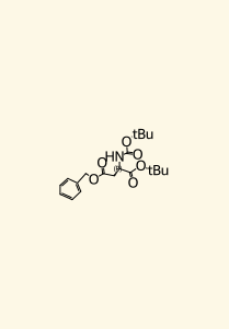 CC(C)(C)OC(=O)N[C@H](CC(=O)OCc1ccccc1)C(=O)OC(C)(C)C